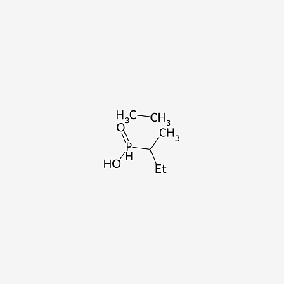 CC.CCC(C)[PH](=O)O